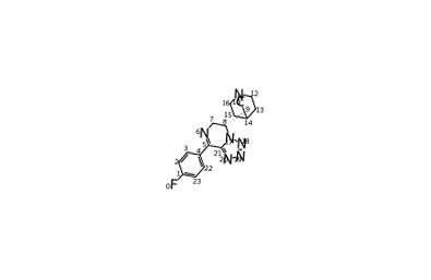 Fc1ccc(C2=NC[C@H](C3CN4CCC3CC4)n3nnnc32)cc1